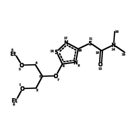 CCOCC(COCC)Oc1nc(SC(=O)N(C)C)ns1